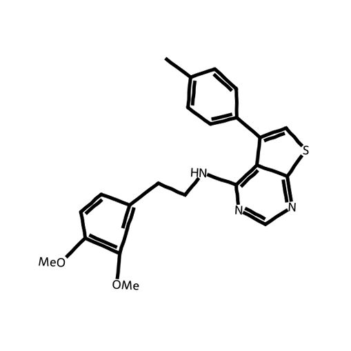 COc1ccc(CCNc2ncnc3scc(-c4ccc(C)cc4)c23)cc1OC